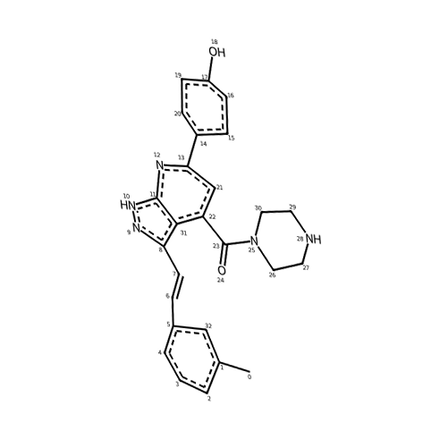 Cc1cccc(/C=C/c2n[nH]c3nc(-c4ccc(O)cc4)cc(C(=O)N4CCNCC4)c23)c1